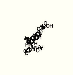 CC(C)OC(=O)NC(C)C(CN[C@]12CC[C@@H](C3(C)CC3)[C@@H]1[C@H]1CC[C@@H]3[C@@]4(C)CC[C@H](OC(=O)[C@H]5C[C@@H](C(=O)O)C5(C)C)C(C)(C)[C@@H]4CC[C@@]3(C)[C@]1(C)CC2)N1CCS(=O)(=O)CC1